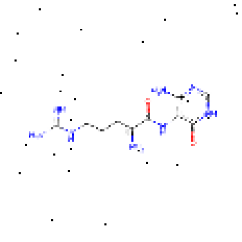 N=C(N)NCCC[C@H](N)C(=O)Nc1c(N)nc[nH]c1=O